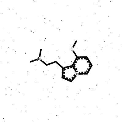 COc1cccn2ccc(CCN(C)C)c12